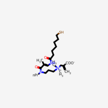 C=C(C[N+](C)(C)CCCN(CCC)C(=O)C(C)=CNC(=O)CCCCCCS)C(=O)[O-]